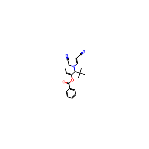 CC=C(OC(=O)c1ccccc1)C(N(C=CC#N)CC#N)C(C)(C)C